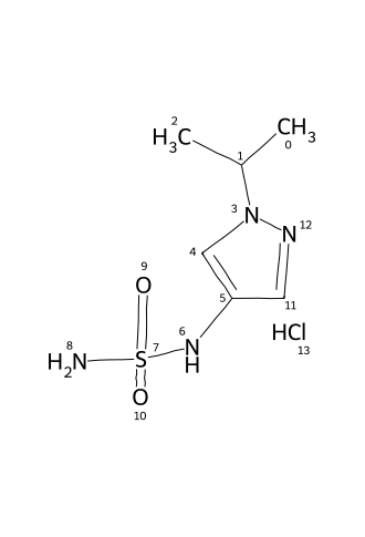 CC(C)n1cc(NS(N)(=O)=O)cn1.Cl